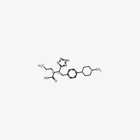 CCC[C@H](C(=O)O)[C@H](Cc1ccc(C2CCN(C)CC2)cc1)c1nn[nH]n1